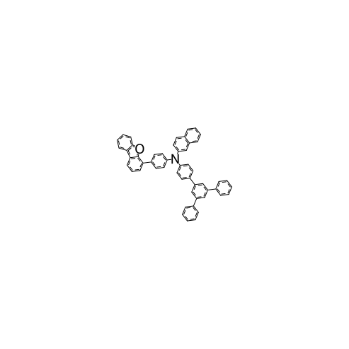 c1ccc(-c2cc(-c3ccccc3)cc(-c3ccc(N(c4ccc(-c5cccc6c5oc5ccccc56)cc4)c4ccc5ccccc5c4)cc3)c2)cc1